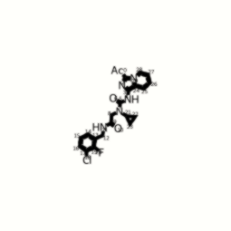 CC(=O)c1nc(NC(=O)N(CC(=O)NCc2cccc(Cl)c2F)C2CC2)c2ccccn12